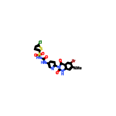 CNc1cc2[nH]c(=O)n(-c3ccc(NC(=O)NS(=O)(=O)c4ccc(Cl)s4)cn3)c(=O)c2cc1Br